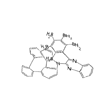 Bc1c(B)c(B)c(-c2nc3ccccc3nc2-n2c3cccc4c3c3c5c(cccc5ccc32)-c2ccccc2-4)c(B)c1B